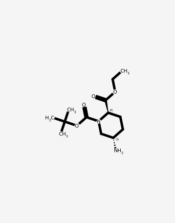 CCOC(=O)[C@H]1CC[C@H](N)CN1C(=O)OC(C)(C)C